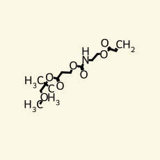 C=CC(=O)OCCNC(=O)OCCC(=O)OC(C)(C)COC